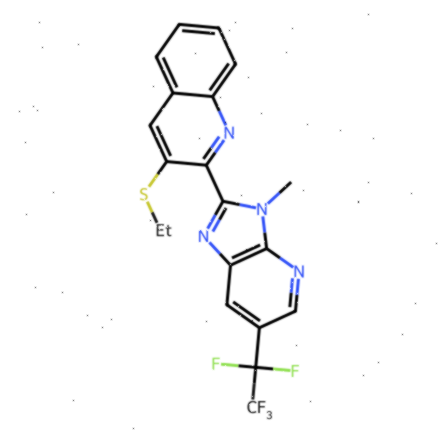 CCSc1cc2ccccc2nc1-c1nc2cc(C(F)(F)C(F)(F)F)cnc2n1C